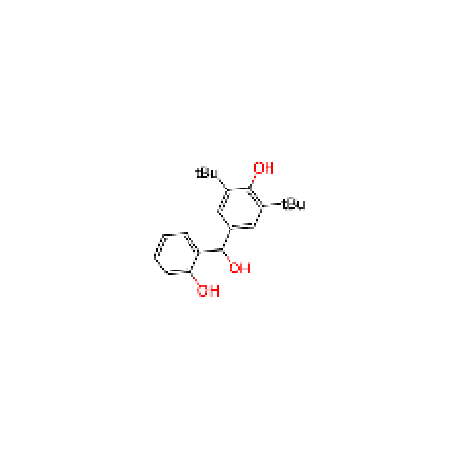 CC(C)(C)c1cc(C(O)c2ccccc2O)cc(C(C)(C)C)c1O